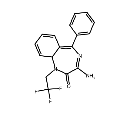 NC1=NC(c2ccccc2)=C2C=CC=CC2N(CC(F)(F)F)C1=O